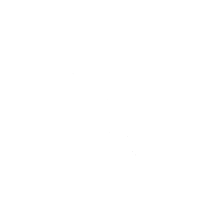 [O]c1ccc2c(c1)CCC2c1cccs1